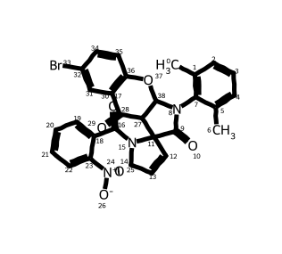 Cc1cccc(C)c1N1C(=O)C2(C=CCN2C(=O)c2ccccc2[N+](=O)[O-])C2C(=O)c3cc(Br)ccc3OC21